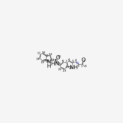 CC(=O)/C=C/c1cc2cc(NC(=O)c3cc4ccccc4[nH]3)ccc2[nH]1